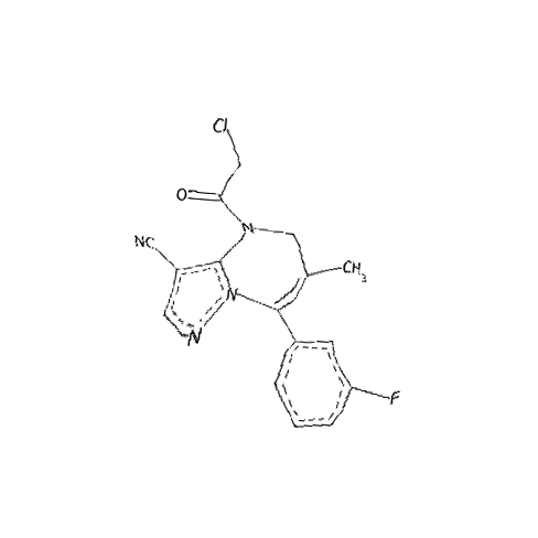 CC1=C(c2cccc(F)c2)n2ncc(C#N)c2N(C(=O)CCl)C1